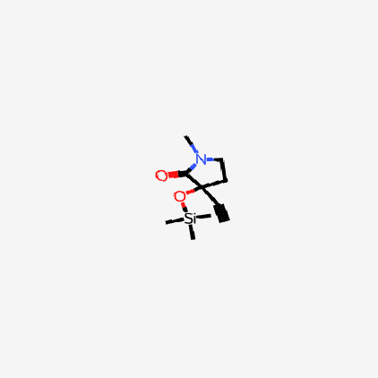 C#CC1(O[Si](C)(C)C)CCN(C)C1=O